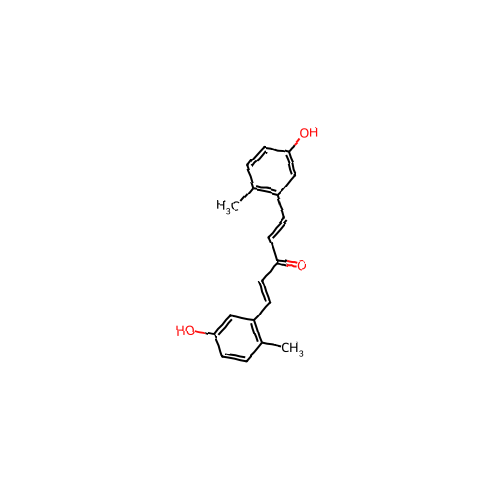 Cc1ccc(O)cc1/C=C/C(=O)/C=C/c1cc(O)ccc1C